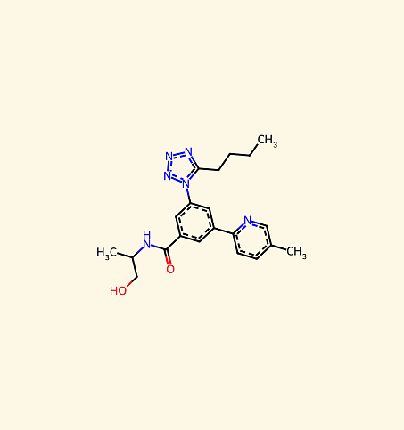 CCCCc1nnnn1-c1cc(C(=O)NC(C)CO)cc(-c2ccc(C)cn2)c1